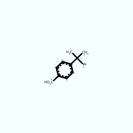 CC(C)C(C)(C)c1ccc(C(=O)O)cc1